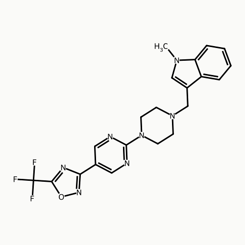 Cn1cc(CN2CCN(c3ncc(-c4noc(C(F)(F)F)n4)cn3)CC2)c2ccccc21